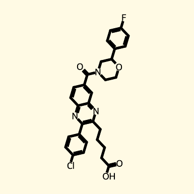 O=C(O)CCCCc1nc2cc(C(=O)N3CCOC(c4ccc(F)cc4)C3)ccc2nc1-c1ccc(Cl)cc1